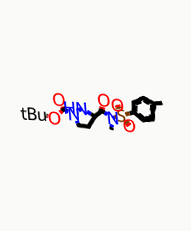 Cc1ccc(S(=O)(=O)N(C)C(=O)C2CCN(C(=O)OC(C)(C)C)N2)cc1